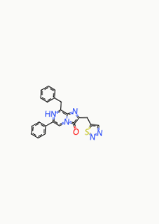 O=c1c(Cc2cnns2)nc2c(Cc3ccccc3)[nH]c(-c3ccccc3)cn1-2